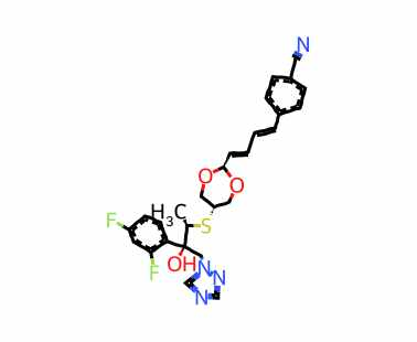 C[C@@H](S[C@H]1CO[C@H](C=CC=Cc2ccc(C#N)cc2)OC1)[C@](O)(Cn1cncn1)c1ccc(F)cc1F